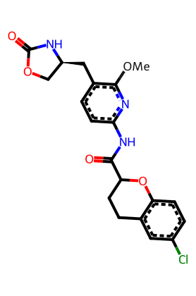 COc1nc(NC(=O)C2CCc3cc(Cl)ccc3O2)ccc1C[C@H]1COC(=O)N1